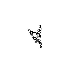 C=CCOC(C)(C)C(=O)NS(=O)(=O)c1ccc2c(c1)N(C[C@@H]1CC[C@H]1[C@H](C=C)OC(=O)C(C)(C)OCC=C)CCCCc1cc(Cl)ccc1CO2